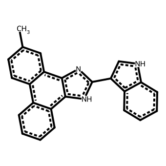 Cc1ccc2c3ccccc3c3[nH]c(-c4c[nH]c5ccccc45)nc3c2c1